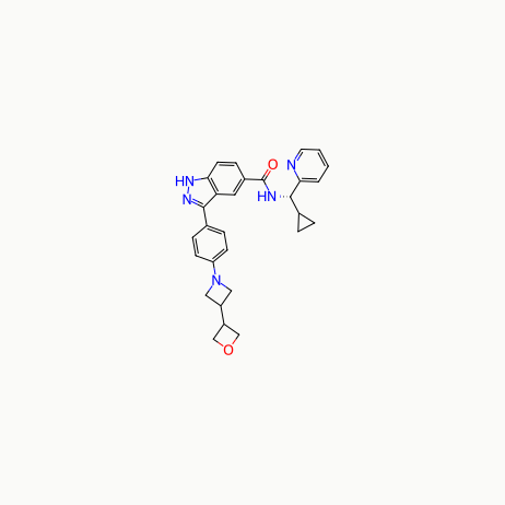 O=C(N[C@H](c1ccccn1)C1CC1)c1ccc2[nH]nc(-c3ccc(N4CC(C5COC5)C4)cc3)c2c1